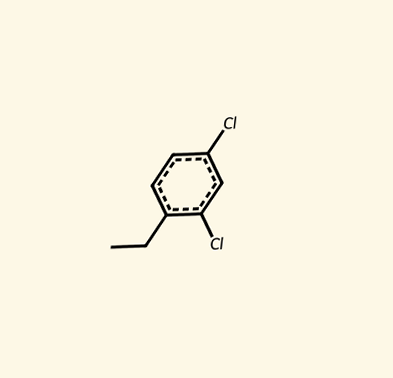 CCc1ccc(Cl)cc1Cl